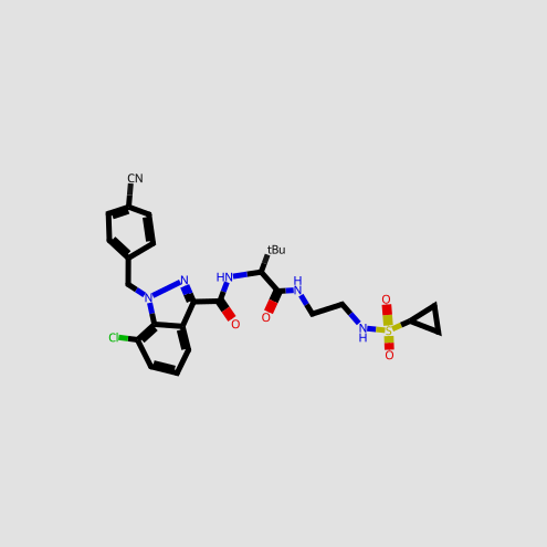 CC(C)(C)C(NC(=O)c1nn(Cc2ccc(C#N)cc2)c2c(Cl)cccc12)C(=O)NCCNS(=O)(=O)C1CC1